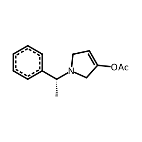 CC(=O)OC1=CCN([C@H](C)c2ccccc2)C1